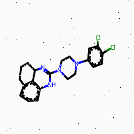 Clc1ccc(N2CCN(C3=NC4CCCc5cccc(c54)N3)CC2)cc1Cl